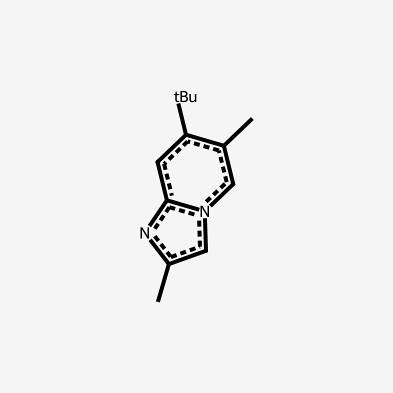 Cc1cn2cc(C)c(C(C)(C)C)cc2n1